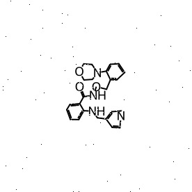 O=C(NOCc1ccccc1N1CCOCC1)c1ccccc1NCc1ccncc1